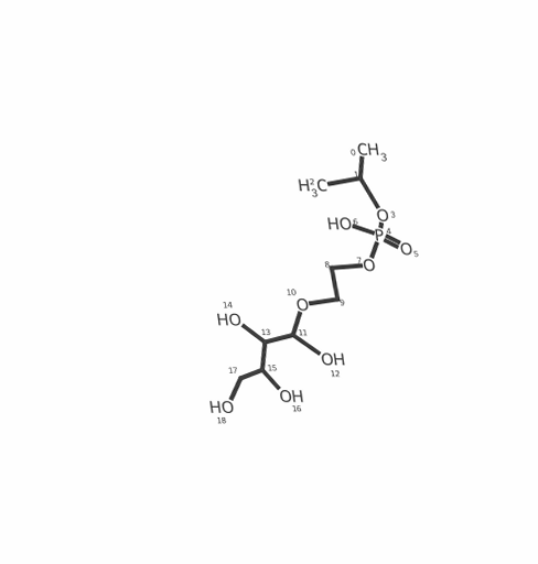 CC(C)OP(=O)(O)OCCOC(O)C(O)C(O)CO